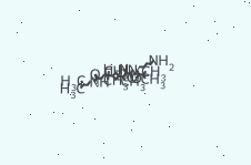 CC(C)CCNC(=O)CCC(C)(C)C1CC(C(C)C(N)C(=O)N[C@@H](CCCCN)C(=O)C(C)C)C1